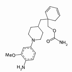 COc1cc(N2CCC(CC3(COC(N)=O)C=CC=CC3)CC2)ccc1N